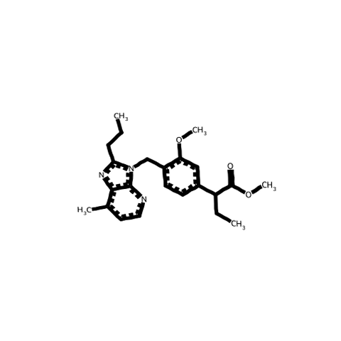 CCCc1nc2c(C)ccnc2n1Cc1ccc(C(CC)C(=O)OC)cc1OC